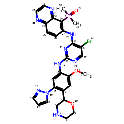 COc1cc(C2CNCCO2)c(-n2cccn2)cc1Nc1ncc(Br)c(Nc2ccc3nccnc3c2P(C)(C)=O)n1